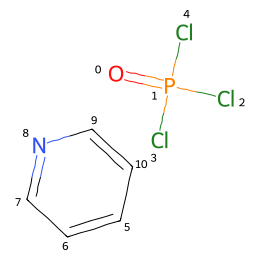 O=P(Cl)(Cl)Cl.c1ccncc1